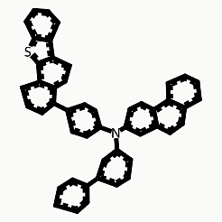 c1ccc(-c2cccc(N(c3ccc(-c4cccc5c4ccc4c6ccccc6sc54)cc3)c3ccc4c(ccc5ccccc54)c3)c2)cc1